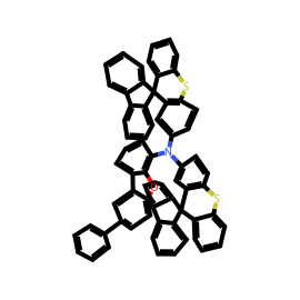 c1ccc(-c2ccc3oc4c(N(c5ccc6c(c5)C5(c7ccccc7S6)c6ccccc6-c6ccccc65)c5ccc6c(c5)C5(c7ccccc7S6)c6ccccc6-c6ccccc65)cccc4c3c2)cc1